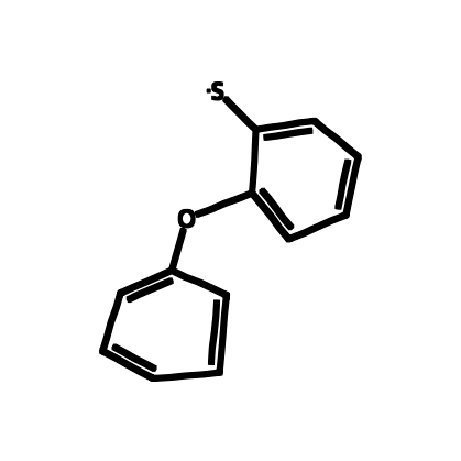 [S]c1ccccc1Oc1ccccc1